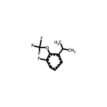 C[C](C)c1cccc(F)c1OC(F)(F)F